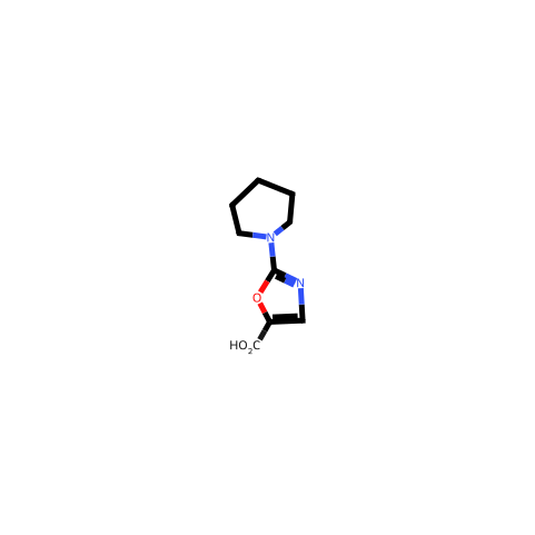 O=C(O)c1cnc(N2CCCCC2)o1